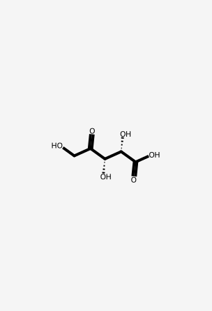 O=C(O)[C@@H](O)[C@H](O)C(=O)CO